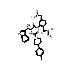 C[C@@H](c1c[nH]c2ccccc12)[C@@H](NC(=O)N1CCC(c2ccc(F)cc2)CC1)C(=O)Nc1cc(CN(C)C)ccc1C(=O)N(C)C